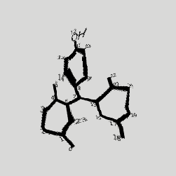 CC1CCC(C)C(C(c2ccc(O)cc2)C2CC(C)CCC2C)C1